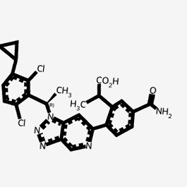 CC(C(=O)O)c1cc(C(N)=O)ccc1-c1cc2c(cn1)nnn2[C@H](C)c1c(Cl)ccc(C2CC2)c1Cl